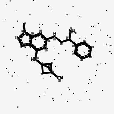 Cn1ncc2c(NC34CC(C#N)(C3)C4)nc(NCC(N)c3ccccc3)nc21